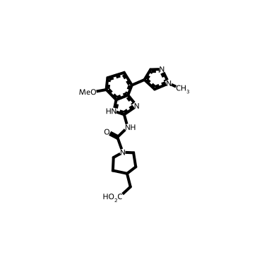 COc1ccc(-c2cnn(C)c2)c2nc(NC(=O)N3CCC(CC(=O)O)CC3)[nH]c12